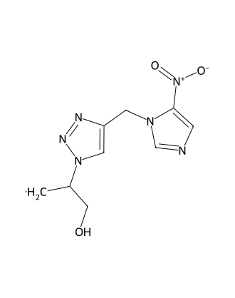 [CH2]C(CO)n1cc(Cn2cncc2[N+](=O)[O-])nn1